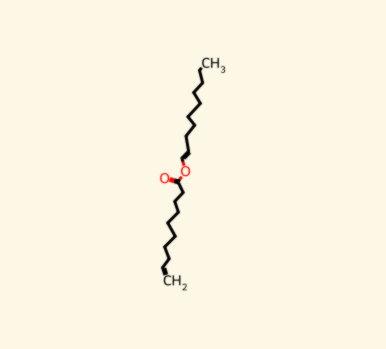 C=CCCCCCCCC(=O)OC=CCCCCCCCC